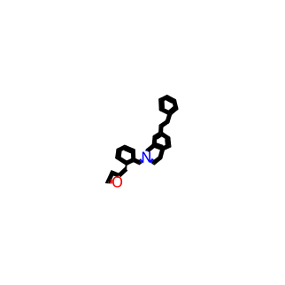 C1=CC(CN2CCc3ccc(CCc4ccccc4)cc3C2)[C@@H](CC2CCO2)C=C1